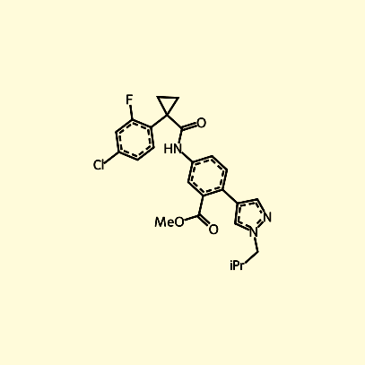 COC(=O)c1cc(NC(=O)C2(c3ccc(Cl)cc3F)CC2)ccc1-c1cnn(CC(C)C)c1